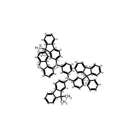 CC1(C)c2ccccc2-c2ccc(N(c3cccc(N(c4ccc5c(c4)C(C)(C)c4ccccc4-5)c4cccc5oc6ccccc6c45)c3)c3cccc(C4(c5ccccc5)c5ccccc5-c5ccccc54)c3)cc21